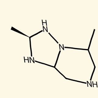 CC1CNCC2N[C@@H](C)NN12